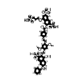 COc1cc(N=Nc2c(S(=O)(=O)O)cc3cc(Nc4ccccc4)ccc3c2O)c(OC)cc1N=Nc1ccc(C(=O)Nc2cc3c(OCCCS(=O)(=O)O)cc(S(=O)(=O)O)cc3cc2S(=O)(=O)O)cc1